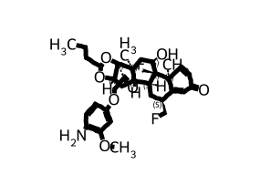 CCCC1O[C@@H]2C[C@H]3[C@@H]4C[C@H](CF)C5=CC(=O)C=C[C@]5(C)[C@@]4(CF)[C@@H](O)C[C@]3(C)[C@]2(C(=O)COc2ccc(N)c(OC)c2)O1